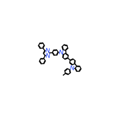 Cc1ccc(-n2c3ccccc3c3ccc(-c4ccc5c(c4)c4ccccc4n5-c4ccc(-c5nc(-c6ccccc6)cc(-c6ccccc6)n5)cc4)cc32)cc1